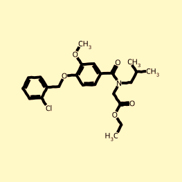 CCOC(=O)CN(CC(C)C)C(=O)c1ccc(OCc2ccccc2Cl)c(OC)c1